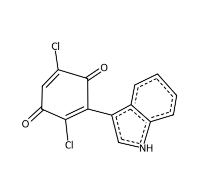 O=C1C=C(Cl)C(=O)C(c2c[nH]c3ccccc23)=C1Cl